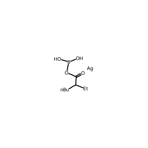 CCCCC(CC)C(=O)OB(O)O.[Ag]